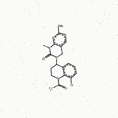 CSc1ncc2c(n1)N(C)C(=O)N(C1CCN(C(=O)C(F)(F)F)c3c(Cl)cccc31)C2